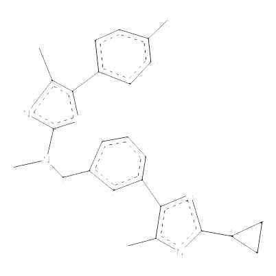 Cc1nc(C2CC2)sc1-c1cccc(CN(C)c2nc(C)c(-c3ccc(F)cc3)s2)c1